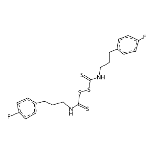 Fc1ccc(CCCNC(=S)SSC(=S)NCCCc2ccc(F)cc2)cc1